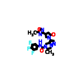 Cc1nc(C2CC(=O)N(c3cnn4c3CN(C(=O)Nc3cc(F)c(F)c(F)c3)C(C)C4)C2)no1